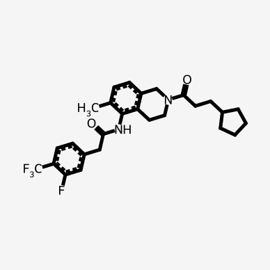 Cc1ccc2c(c1NC(=O)Cc1ccc(C(F)(F)F)c(F)c1)CCN(C(=O)CCC1CCCC1)C2